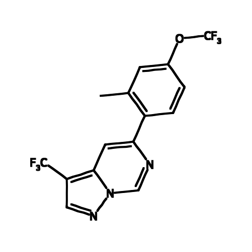 Cc1cc(OC(F)(F)F)ccc1-c1cc2c(C(F)(F)F)cnn2cn1